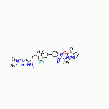 C/C=C(\C=C1/CC(/C=C\C/C(N)=C/NCN(CC)C[C@H](C)CC)=CC1(F)F)C1C=c2[nH]c(C(CCC)N(CCC)C(=O)C(CC)c3ccc[nH]3)nc2=CC1